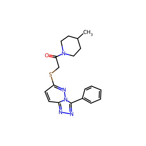 CC1CCN(C(=O)CSc2ccc3nnc(-c4ccccc4)n3n2)CC1